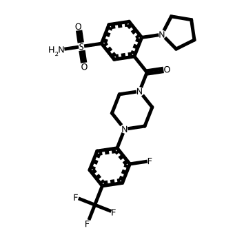 NS(=O)(=O)c1ccc(N2CCCC2)c(C(=O)N2CCN(c3ccc(C(F)(F)F)cc3F)CC2)c1